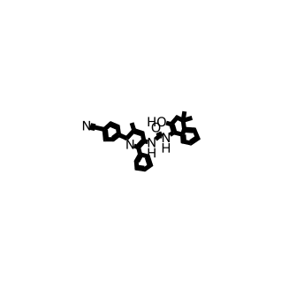 Cc1cc(NC(=O)NC2=C(O)CC(C)(C)c3ccccc32)c(-c2ccccc2)nc1-c1ccc(C#N)cc1